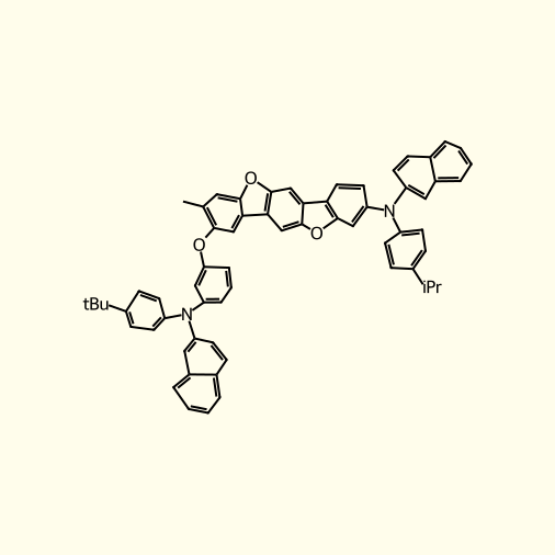 Cc1cc2oc3cc4c(cc3c2cc1Oc1cccc(N(c2ccc(C(C)(C)C)cc2)c2ccc3ccccc3c2)c1)oc1cc(N(c2ccc(C(C)C)cc2)c2ccc3ccccc3c2)ccc14